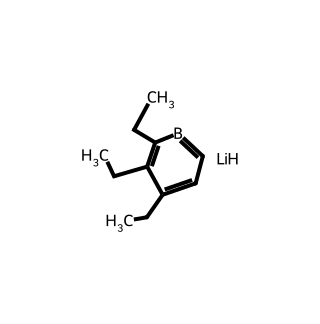 CCc1bccc(CC)c1CC.[LiH]